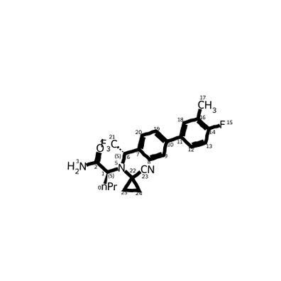 CCC[C@@H](C(N)=O)N([C@@H](c1ccc(-c2ccc(F)c(C)c2)cc1)C(F)(F)F)C1(C#N)CC1